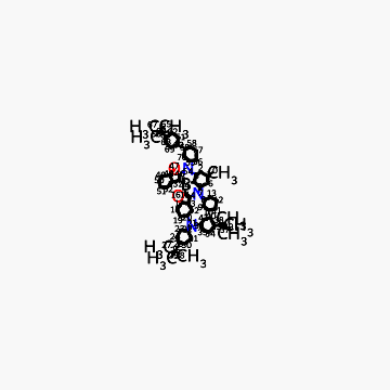 Cc1cc2c3c(c1)N(c1ccccc1)c1c(oc4ccc(N(c5ccc(C(C)(C)C)cc5)c5ccc(C(C)(C)C)cc5)cc14)B3c1c(oc3ccccc13)N2c1cccc(-c2ccc(C(C)(C)C)cc2)c1